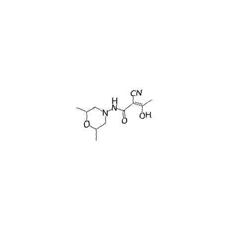 C/C(O)=C(\C#N)C(=O)NN1CC(C)OC(C)C1